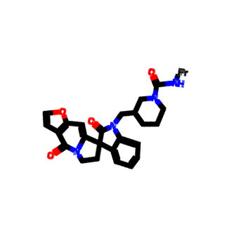 CC(C)NC(=O)N1CCCC(CN2C(=O)C3(CCn4c3cc3occc3c4=O)c3ccccc32)C1